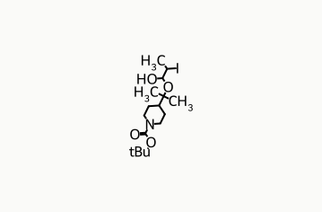 CC(I)C(O)OC(C)(C)C1CCN(C(=O)OC(C)(C)C)CC1